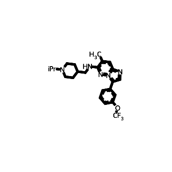 Cc1cc2ncc(-c3cccc(OC(F)(F)F)c3)n2nc1NCC1CCN(C(C)C)CC1